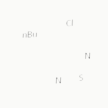 CCCCCc1nsnc1Cl